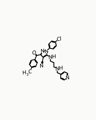 Cc1ccc(C(=O)c2nn(-c3ccc(Cl)cc3)c(NCCCNCc3ccncc3)c2C#N)cc1